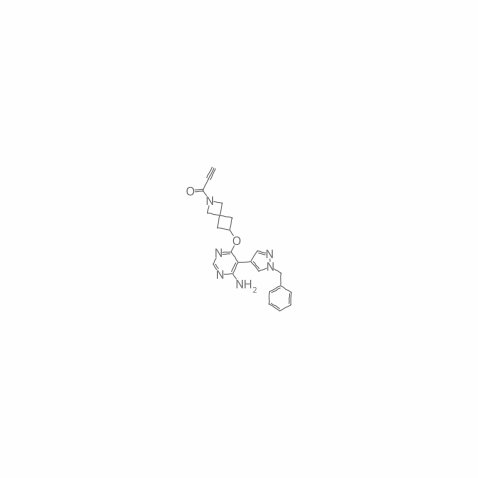 C#CC(=O)N1CC2(CC(Oc3ncnc(N)c3-c3cnn(Cc4ccccc4)c3)C2)C1